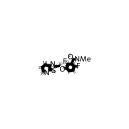 CNC(=O)c1c(F)ccc(OCc2nc3cccnc3s2)c1F